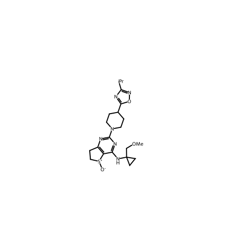 COCC1(Nc2nc(N3CCC(c4nc(C(C)C)no4)CC3)nc3c2[S+]([O-])CC3)CC1